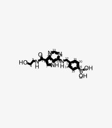 O=C(NCCO)c1c[nH]c2c(NCc3ccc(B(O)O)cc3)ncnc12